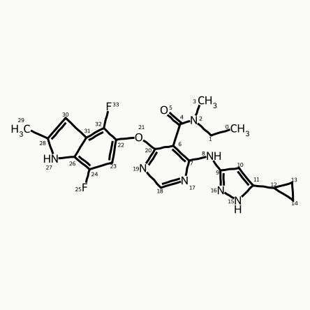 CCN(C)C(=O)c1c(Nc2cc(C3CC3)[nH]n2)ncnc1Oc1cc(F)c2[nH]c(C)cc2c1F